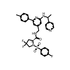 Cc1ccc(-c2cc(CNC(=O)[C@@H]3CC(F)(F)CN3S(=O)(=O)c3ccc(F)cc3)cc(NC(C)c3ccncc3)n2)cc1